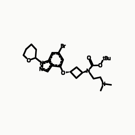 CN(C)CCN(C(=O)OC(C)(C)C)[C@H]1C[C@H](Oc2cc(Br)cc3c2cnn3C2CCCCO2)C1